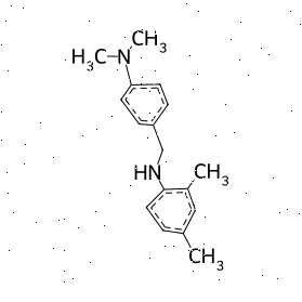 Cc1ccc(NCc2ccc(N(C)C)cc2)c(C)c1